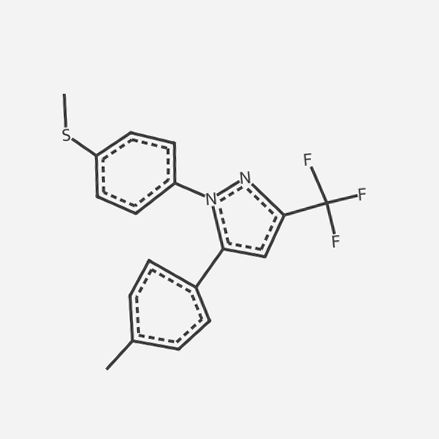 CSc1ccc(-n2nc(C(F)(F)F)cc2-c2ccc(C)cc2)cc1